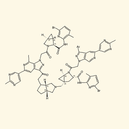 CC(=O)c1nn(CC(=O)N2[C@H](C(=O)Nc3nc(Br)ccc3C)C[C@@]3(CN4C[C@@H]5CCC(CC(=O)c6nn(CC(=O)N7C[C@H]8C[C@H]8[C@H]7C(=O)Nc7nc(Br)ccc7C)c7c(C)nc(-c8cnc(C)nc8)cc67)[C@@H]5C4)C[C@@H]23)c2cnc(-c3cnc(C)nc3)cc12